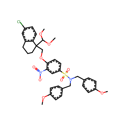 COc1ccc(CN(Cc2ccc(OC)cc2)S(=O)(=O)c2ccc(OCC3(C(OC)OC)CCCc4cc(Cl)ccc43)c([N+](=O)[O-])c2)cc1